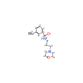 CC(C)(C)c1cccc(C(=O)NCCCN2CCOCC2)c1